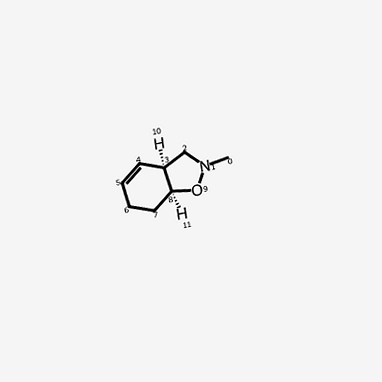 CN1C[C@@H]2C=CCC[C@@H]2O1